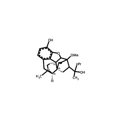 CCCC(C)(O)C1C[C@@]23C=CC1(OC)C1Oc4c(O)ccc5c4[C@@]12CCN(C)[C@@H]3C5